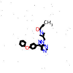 CC#CC(=O)N1CC(Cn2nc(-c3ccc(Oc4ccccc4)cc3)c3cncnc32)C1